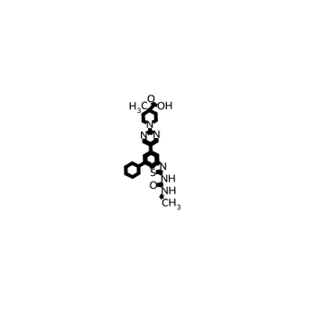 CCNC(=O)Nc1nc2cc(-c3cnc(N4CCC(C)(C(=O)O)CC4)nc3)cc(C3CCCCC3)c2s1